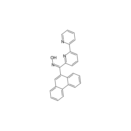 O/N=C(\c1cccc(-c2ccccn2)n1)c1cc2ccccc2c2ccccc12